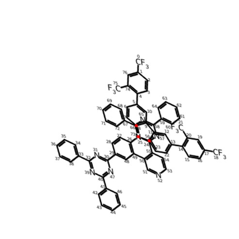 FC(F)(F)c1ccc(-c2ccc3c(c2)c2cc(-c4ccc(C(F)(F)F)cc4C(F)(F)F)ccc2n3-c2ccc(-c3nc(-c4ccccc4)nc(-c4ccccc4)n3)cc2-c2cnccc2-c2nc(-c3ccccc3)nc(-c3ccccc3)n2)c(C(F)(F)F)c1